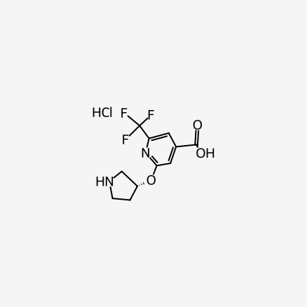 Cl.O=C(O)c1cc(O[C@@H]2CCNC2)nc(C(F)(F)F)c1